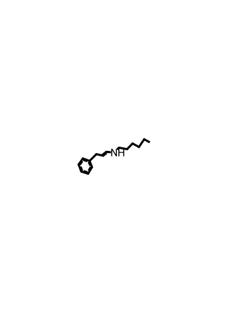 CCCCCCNC=CCc1ccccc1